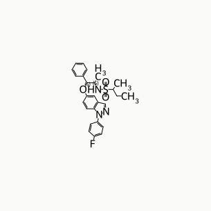 CCC(C)S(=O)(=O)N[C@@H](C)[C@@H](Oc1ccc2c(cnn2-c2ccc(F)cc2)c1)c1ccccc1